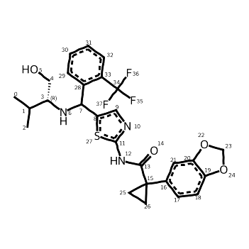 CC(C)[C@H](CO)NC(c1cnc(NC(=O)C2(c3ccc4c(c3)OCO4)CC2)s1)c1ccccc1C(F)(F)F